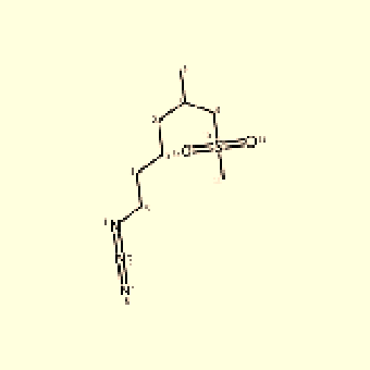 CC(CCCCN=[N+]=[N-])CS(C)(=O)=O